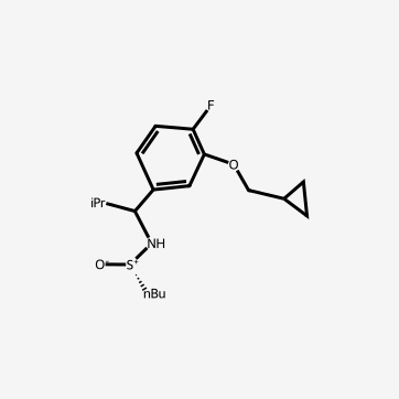 CCCC[S@+]([O-])NC(c1ccc(F)c(OCC2CC2)c1)C(C)C